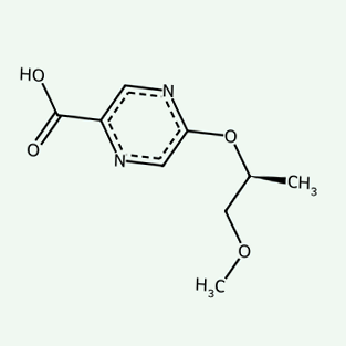 COC[C@H](C)Oc1cnc(C(=O)O)cn1